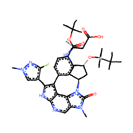 C[C@H](CC(=O)O)c1ccc(-c2c(-c3cn(C)nc3F)[nH]c3ncc4c(c23)n([C@H]2C[C@H](NC(=O)OC(C)(C)C)[C@H](O[Si](C)(C)C(C)(C)C)C2)c(=O)n4C)cc1